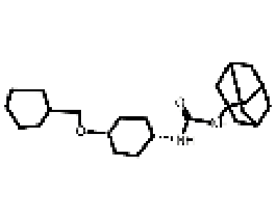 O=C(NC12CC3CC(CC(C3)C1)C2)N[C@H]1CC[C@H](OCC2CCCCC2)CC1